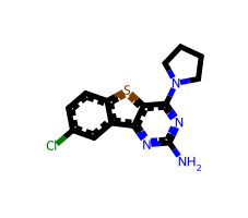 Nc1nc(N2CCCC2)c2sc3ccc(Cl)cc3c2n1